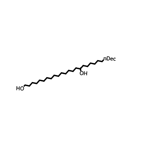 CCCCCCCCCCCCCCCC[C](O)CCCCCCCCCCCCCCCO